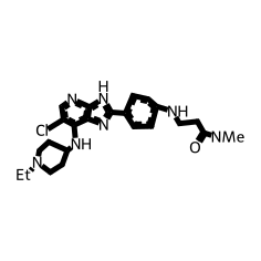 CCN1CCC(Nc2c(Cl)cnc3[nH]c(-c4ccc(NCCC(=O)NC)cc4)nc23)CC1